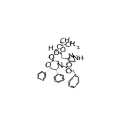 CC(C)(C)OC(=O)C(c1cc[nH]n1)[C@H]1C(=O)O[C@@H](c2ccccc2)[C@@H](c2ccccc2)N1C(=O)OCc1ccccc1